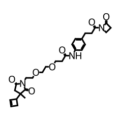 CC1(C2C=CC2)CC(=O)N(CCOCCOCCC(=O)Nc2ccc(CCC(=O)N3CCC3=O)cc2)C1=O